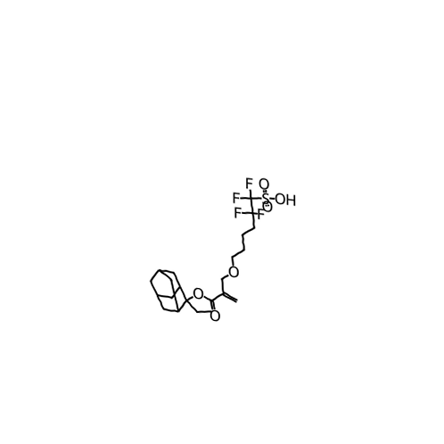 C=C(COCCCCC(F)(F)C(F)(F)S(=O)(=O)O)C(=O)OC1(CC)C2CC3CC(C2)CC1C3